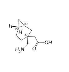 NC[C@@]1(CC(=O)O)CC[C@@H]2C[C@H]2C1